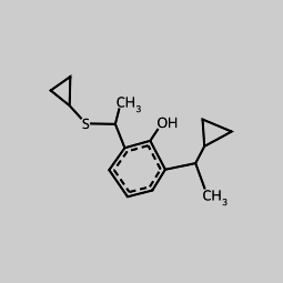 CC(SC1CC1)c1cccc(C(C)C2CC2)c1O